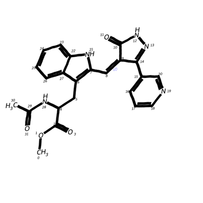 COC(=O)C(Cc1c(/C=C2\C(=O)NN=C2c2cccnc2)[nH]c2ccccc12)NC(C)=O